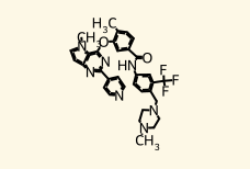 Cc1ccc(C(=O)Nc2ccc(CN3CCN(C)CC3)c(C(F)(F)F)c2)cc1Oc1nc(-c2ccncc2)nc2ccn(C)c12